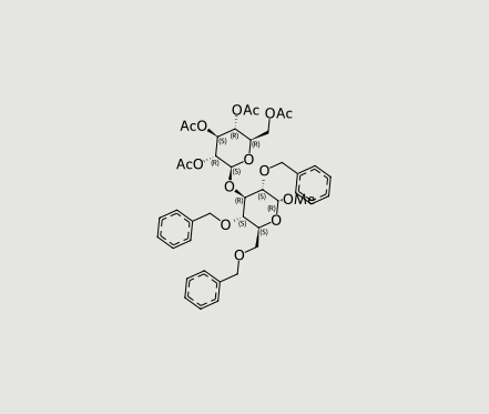 CO[C@@H]1O[C@@H](COCc2ccccc2)[C@H](OCc2ccccc2)[C@@H](O[C@@H]2O[C@H](COC(C)=O)[C@@H](OC(C)=O)[C@H](OC(C)=O)[C@H]2OC(C)=O)[C@@H]1OCc1ccccc1